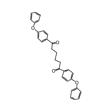 O=C(CCCCC(=O)c1ccc(Oc2ccccc2)cc1)c1ccc(Oc2ccccc2)cc1